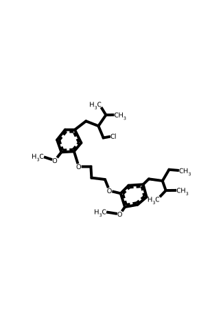 CCC(Cc1ccc(OC)c(OCCCOc2cc(CC(CCl)C(C)C)ccc2OC)c1)C(C)C